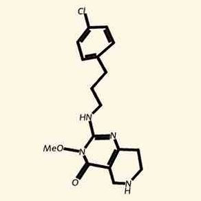 COn1c(NCCCc2ccc(Cl)cc2)nc2c(c1=O)CNCC2